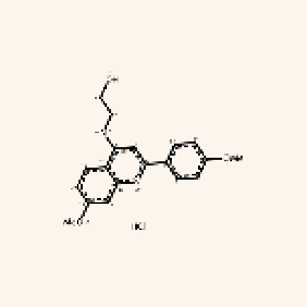 COc1ccc(-c2cc(NCCO)c3ccc(OC)cc3n2)cc1.Cl